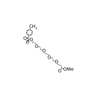 COC(=O)CCOCCOCCOCCOCCOS(=O)(=O)c1ccc(C)cc1